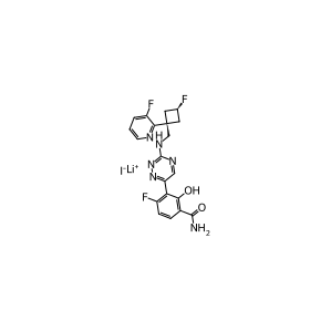 NC(=O)c1ccc(F)c(-c2cnc(NC[C@]3(c4ncccc4F)C[C@H](F)C3)nn2)c1O.[I-].[Li+]